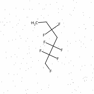 [CH2]CC(F)(F)CC(F)(F)C(F)(F)CF